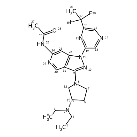 CCN(CC)[C@H]1CCN(c2nn(-c3cncc(C(C)(F)F)n3)c3cc(NC(C)=O)ncc23)C1